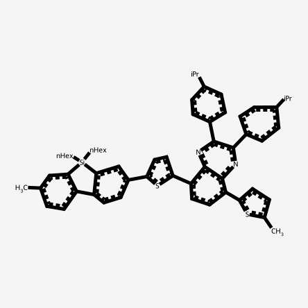 CCCCCC[Si]1(CCCCCC)c2cc(C)ccc2-c2ccc(-c3ccc(-c4ccc(-c5ccc(C)s5)c5nc(-c6ccc(C(C)C)cc6)c(-c6ccc(C(C)C)cc6)nc45)s3)cc21